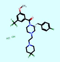 COc1cc(C(=O)N2CCN(CCN3CCC(F)(F)CC3)C[C@H]2Cc2ccc(F)cc2)cc(C(F)(F)F)c1.Cl.Cl